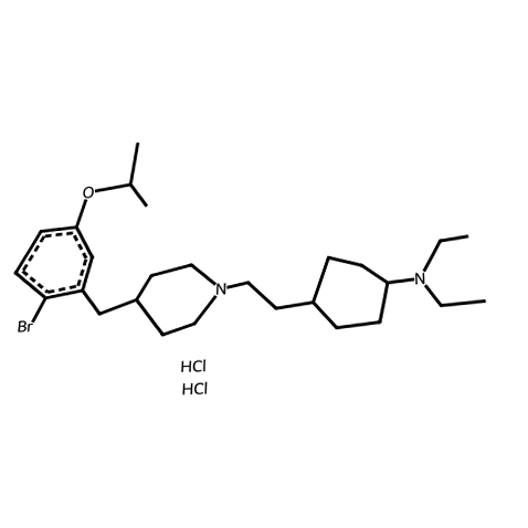 CCN(CC)C1CCC(CCN2CCC(Cc3cc(OC(C)C)ccc3Br)CC2)CC1.Cl.Cl